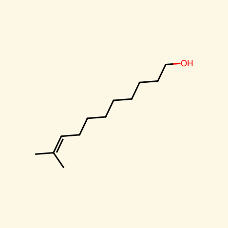 CC(C)=CCCCCCCCCO